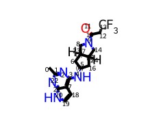 Cc1nc(N[C@@H]2C[C@@H]3CN(C(=O)CC(F)(F)F)C[C@@H]3C2)c2cc[nH]c2n1